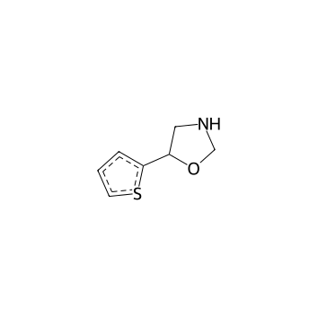 c1csc(C2CNCO2)c1